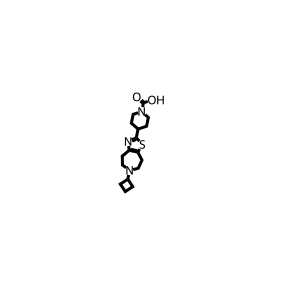 O=C(O)N1CCC(c2nc3c(s2)CCN(C2CCC2)CC3)CC1